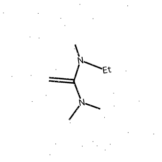 C=C(N(C)C)N(C)CC